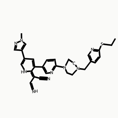 CCSc1ccc(CN2CCN(c3ccc(C4=CC(c5cnn(C)c5)=CN/C4=C(/C#N)C=N)cn3)CC2)cn1